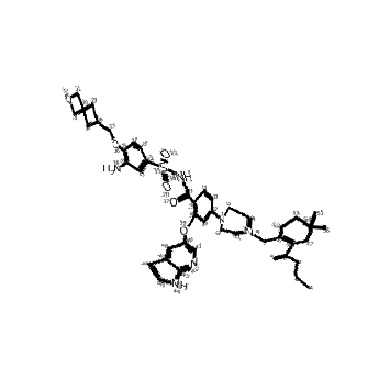 C=C(CCC)C1=C(CN2CCN(c3ccc(C(=O)NS(=O)(=O)c4ccc(OCC5CC6(COC6)C5)c(N)c4)c(Oc4cnc5[nH]ccc5c4)c3)CC2)CCC(C)(C)C1